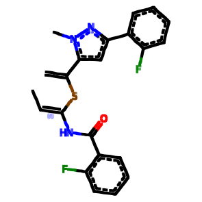 C=C(S/C(=C\C)NC(=O)c1ccccc1F)c1cc(-c2ccccc2F)nn1C